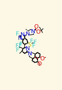 COc1ccc(CN(Cc2ccc(OC)cc2)c2cc(C)c(C(F)(F)F)c(-c3c(SC(F)(F)F)cc4c(N5CCN(C(=O)OC(C)(C)C)C[C@@H]5C)nc(F)nc4c3F)n2)cc1